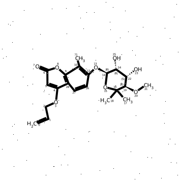 C=CCOc1cc(=O)oc2c(C)c(O[C@@H]3OC(C)(C)[C@H](OC)[C@@H](O)[C@H]3O)ccc12